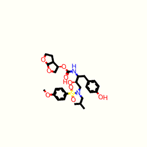 COc1ccc(S(=O)(=O)N(CC(C)C)C[C@@H](O)C(Cc2ccc(O)cc2)NC(=O)O[C@H]2COC3OCCC32)cc1